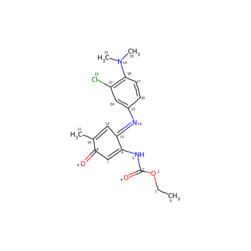 CCOC(=O)NC1=CC(=O)C(C)=CC1=Nc1ccc(N(C)C)c(Cl)c1